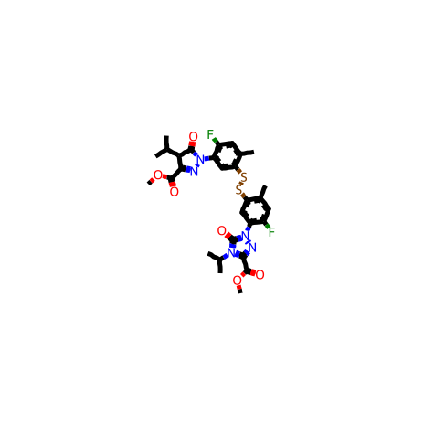 COC(=O)C1=NN(c2cc(SSc3cc(-n4nc(C(=O)OC)n(C(C)C)c4=O)c(F)cc3C)c(C)cc2F)C(=O)C1C(C)C